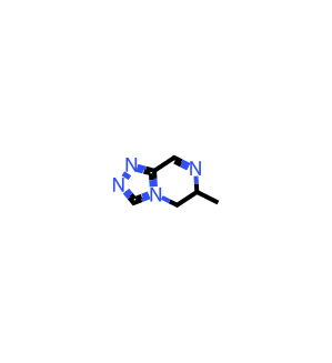 CC1Cn2cnnc2C=N1